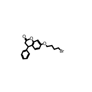 O=C1CC(c2ccccc2)c2ccc(OCCCCBr)cc2O1